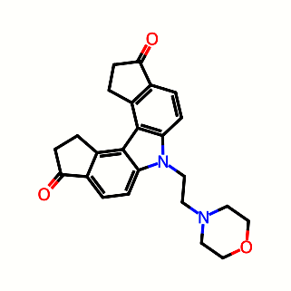 O=C1CCc2c1ccc1c2c2c3c(ccc2n1CCN1CCOCC1)C(=O)CC3